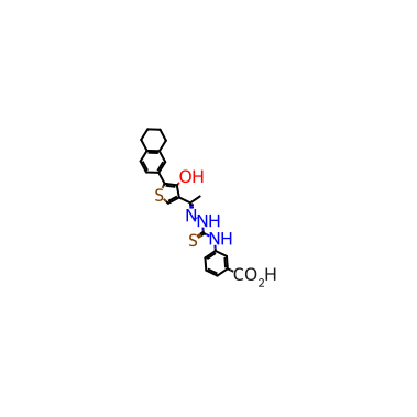 C/C(=N\NC(=S)Nc1cccc(C(=O)O)c1)c1csc(-c2ccc3c(c2)CCCC3)c1O